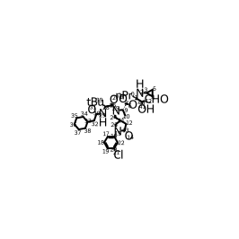 CCC[C@](NC1CC1)(OC(=O)[C@@H]1C[C@@]2(CC(=O)N(c3cccc(Cl)c3)C2)CN1C(=O)[C@@H](NC(=O)CC1CCCCC1)C(C)(C)C)C(O)C=O